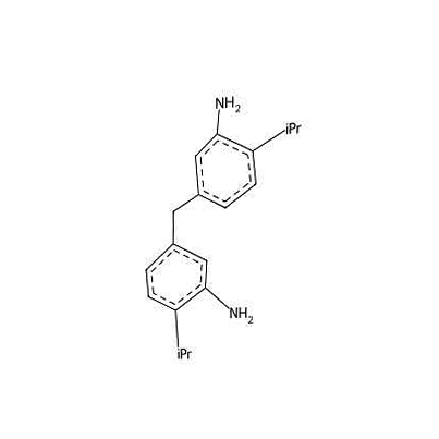 CC(C)c1ccc(Cc2ccc(C(C)C)c(N)c2)cc1N